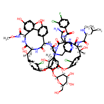 CN[C@H](CC(C)C)C(=O)N[C@H]1C(=O)N[C@@H](CC(N)=O)C(=O)N[C@H]2C(=O)N[C@H]3C(=O)N[C@H](C(=O)N[C@@H](C(=O)NOC)c4cc(O)cc(O)c4-c4cc3ccc4O)[C@H](O)c3ccc(c(Cl)c3)Oc3cc2cc(c3O[C@@H]2O[C@H](CO)[C@@H](O)[C@H](O)[C@H]2O[C@H]2C[C@](C)(NCc3cncc(NC(=O)c4ccc(F)c(Cl)c4)c3)[C@H](O)[C@H](C)O2)Oc2ccc(cc2Cl)[C@H]1O